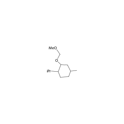 COCOC1CC(C)CCC1C(C)C